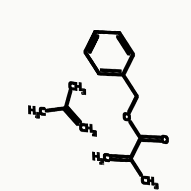 C=C(C)C.C=C(C)C(=O)OCc1ccccc1